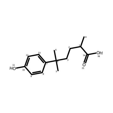 CC(CCC(C)(C)c1ccc(O)cc1)C(=O)O